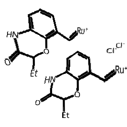 CCC1Oc2c([CH]=[Ru+])cccc2NC1=O.CCC1Oc2c([CH]=[Ru+])cccc2NC1=O.[Cl-].[Cl-]